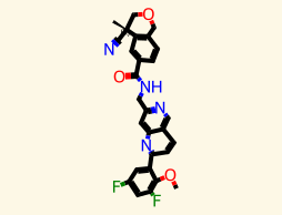 COc1c(F)cc(F)cc1-c1ccc2cnc(CNC(=O)c3ccc4c(c3)[C@](C)(C#N)COC4)cc2n1